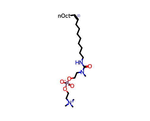 CCCCCCCC/C=C\CCCCCCCCNC(=O)N(C)CCOP(=O)([O-])OCC[N+](C)(C)C